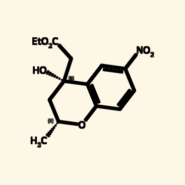 CCOC(=O)C[C@]1(O)C[C@@H](C)Oc2ccc([N+](=O)[O-])cc21